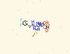 CCCSc1nc(N[C@@H]2C[C@H]2c2ccc(F)c(F)c2)c2nnn([C@@H]3C[C@H](OC)[C@H]4OC(C)(C)O[C@H]43)c2n1